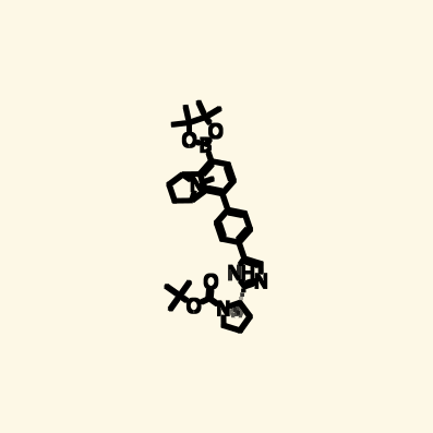 CN1C2CCC1c1c(-c3ccc(-c4cnc([C@@H]5CCCN5C(=O)OC(C)(C)C)[nH]4)cc3)ccc(B3OC(C)(C)C(C)(C)O3)c12